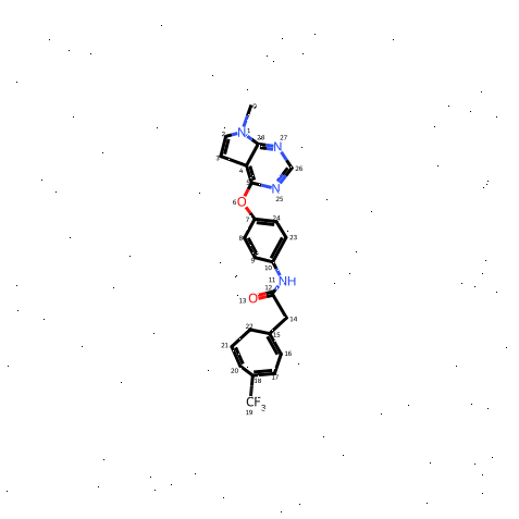 Cn1ccc2c(Oc3ccc(NC(=O)CC4=CC=C(C(F)(F)F)C=CC4)cc3)ncnc21